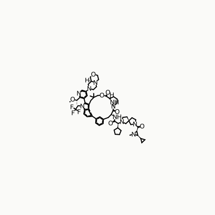 CO[C@@H](C)c1ncc(N2CCN3CCOC[C@@H]3C2)cc1-c1c2c3cc(ccc3n1CC(F)(F)F)-c1cccc(c1)C[C@H](NC(=O)[C@H](C1CCCC1)N1CC[C@]3(CCN(C(=O)[C@H]4[C@@H](C5CC5)N4C)C3)C1)C(=O)N1CCC[C@H](N1)C(=O)OCC(C)(C)C2